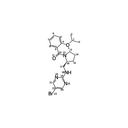 CC(C)Oc1ccccc1C(=O)N1CCC[C@H]1CNc1ncc(Br)cn1